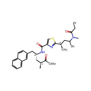 COC(=O)[C@@H](C)C[C@H](Cc1ccc2ccccc2c1)NC(=O)c1csc([C@@H](CC(C(C)C)N(C)C(=O)CC(C)C)OC(C)=O)n1